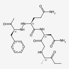 CCC(=O)[C@H](C)NCC(=O)[C@H](CC(N)=O)NC(=O)[C@H](CCC(N)=O)NN[C@@H](Cc1ccccc1)C(C)=O